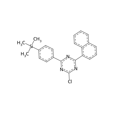 C[Si](C)(C)c1ccc(-c2nc(Cl)nc(-c3cccc4ccccc34)n2)cc1